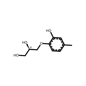 Cc1ccc(OC[C@H](O)CO)c(O)c1